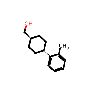 Cc1ccccc1[C@H]1CC[C@H](CO)CC1